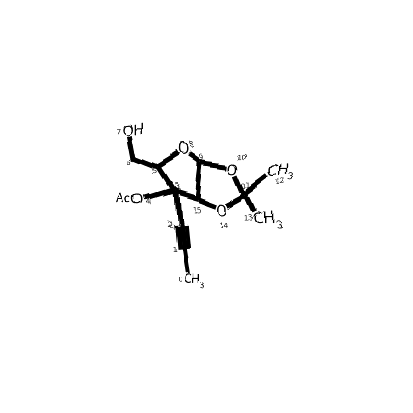 CC#CC1(OC(C)=O)C(CO)OC2OC(C)(C)OC21